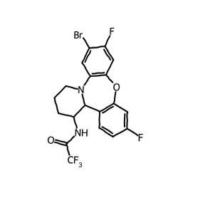 O=C(NC1CCCN2c3cc(Br)c(F)cc3Oc3cc(F)ccc3C12)C(F)(F)F